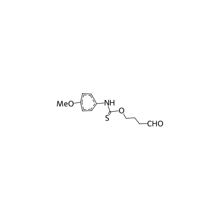 COc1ccc(NC(=S)OCCCC=O)cc1